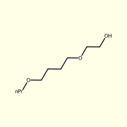 CCCOCCCCOCCO